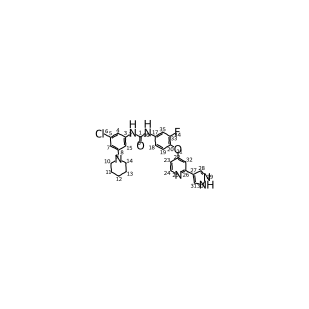 O=C(Nc1cc(Cl)cc(N2CCCCC2)c1)Nc1ccc(Oc2ccnc(-c3cn[nH]c3)c2)c(F)c1